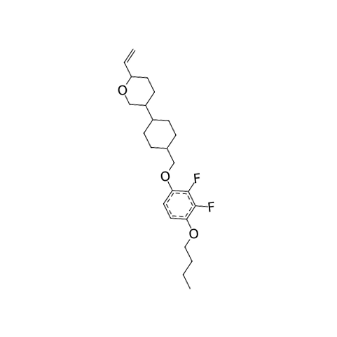 C=CC1CCC(C2CCC(COc3ccc(OCCCC)c(F)c3F)CC2)CO1